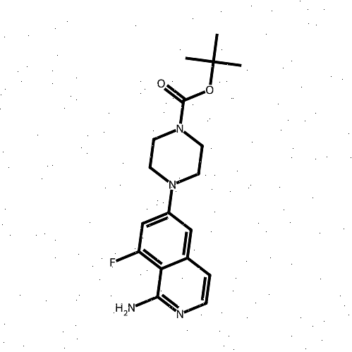 CC(C)(C)OC(=O)N1CCN(c2cc(F)c3c(N)nccc3c2)CC1